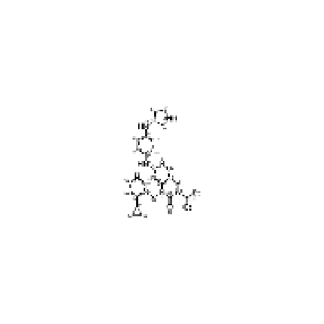 CCC(CC)c1cc2cnc(Nc3ccc(NC4CCNC4)cc3)nc2n(Cc2cnccc2C2CC2)c1=O